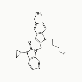 NCc1ccc2c(c1)cc(Cn1c(=O)n(C3CC3)c3ccncc31)n2CCCCF